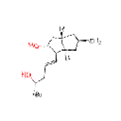 C=C1C[C@H]2C[C@@H](O)[C@H](C=CC[C@@H](O)CCCC)[C@@H]2C1